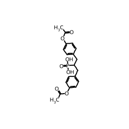 CC(=O)Oc1ccc(CC(Cc2ccc(OC(C)=O)cc2)P(=O)(O)O)cc1